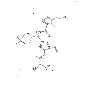 C=Nn1cc([C@@H](NC(=O)c2cnn(CCC(F)(F)F)c2C)C2CCC(F)(F)CC2)nc1/C=C(\C)C(N)C1CC1